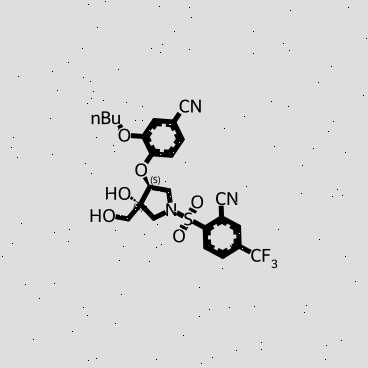 CCCCOc1cc(C#N)ccc1O[C@H]1CN(S(=O)(=O)c2ccc(C(F)(F)F)cc2C#N)C[C@@]1(O)CO